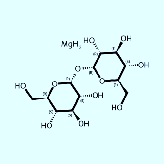 OC[C@H]1O[C@H](O[C@H]2O[C@H](CO)[C@@H](O)[C@H](O)[C@H]2O)[C@H](O)[C@@H](O)[C@@H]1O.[MgH2]